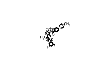 CCOC(=O)n1nc2c(c1NC(=O)c1ccc(N3CCN(C)CC3)cc1)CN(S(=O)(=O)c1cc(F)cc(F)c1)C2(C)C